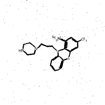 Nc1cc(C(F)(F)F)cc2c1N(CCCN1CCNCC1)c1ccccc1S2